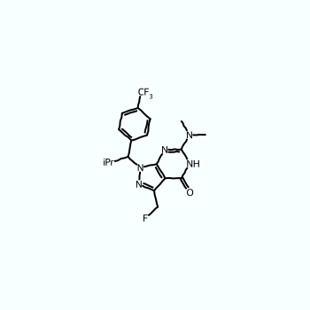 CC(C)C(c1ccc(C(F)(F)F)cc1)n1nc(CF)c2c(=O)[nH]c(N(C)C)nc21